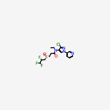 CCN(C(=O)CC[S+]([O-])CC(F)C(F)F)c1cn(-c2cccnc2)nc1Cl